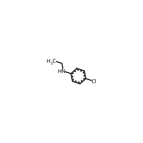 CCNc1[c]cc(Cl)cc1